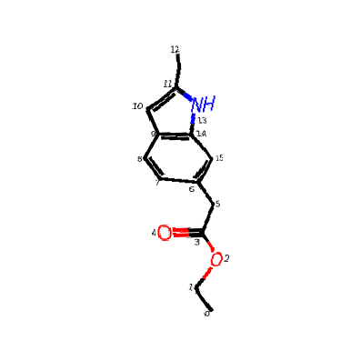 CCOC(=O)Cc1ccc2cc(C)[nH]c2c1